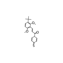 COc1ccc(C(C)(C)C)c(OC)c1/C=C/C(=O)C1C=CC(=S)C=C1